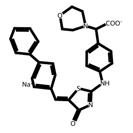 O=C1N=C(Nc2ccc(C(C(=O)[O-])N3CCOCC3)cc2)SC1=Cc1ccc(-c2ccccc2)cc1.[Na+]